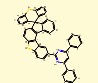 c1ccc(-c2cc(-c3ccccc3)nc(-c3ccc4sc5ccc6c(c5c4c3)-c3ccccc3C63c4ccccc4Sc4ccccc43)n2)cc1